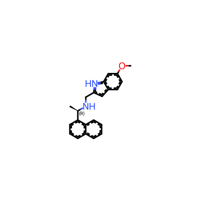 COc1ccc2cc(CN[C@H](C)c3cccc4ccccc34)[nH]c2c1